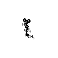 Cc1cc(CNC(=O)Nc2ccc(NS(=O)(=O)c3ccccc3-c3ccccc3)cc2)no1